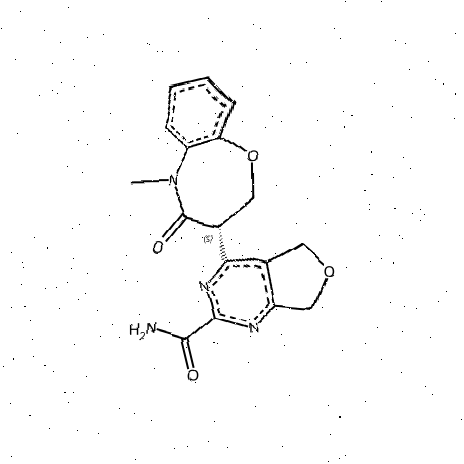 CN1C(=O)[C@@H](c2nc(C(N)=O)nc3c2COC3)COc2ccccc21